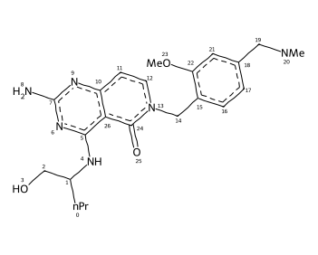 CCCC(CO)Nc1nc(N)nc2ccn(Cc3ccc(CNC)cc3OC)c(=O)c12